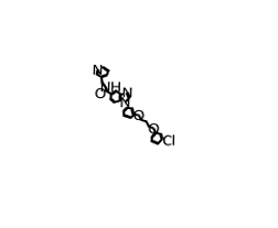 O=C(NCc1cccnc1)c1ccc2c(c1)ncn2-c1cccc(OCCCOc2cccc(Cl)c2)c1